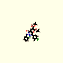 Cc1cc(-c2cc(CC(C(=O)OC(C)(C)C)C(=O)OC(C)(C)C)c(=O)n(Cc3ccccc3Cl)n2)ccc1F